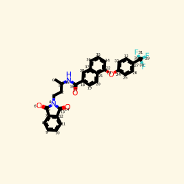 CC(CCN1C(=O)c2ccccc2C1=O)NC(=O)c1ccc2c(Oc3ccc(C(F)(F)F)cc3)cccc2c1